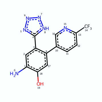 Nc1cc(-c2nnn[nH]2)c(-c2ccc(C(F)(F)F)nc2)cc1O